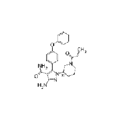 C=CC(=O)N1CCC[C@@H](n2nc(N)c(C(N)=O)c2-c2ccc(Oc3ccccc3)cc2)C1